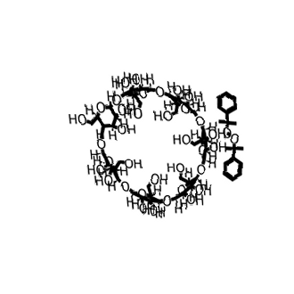 CC(C)(OOC(C)(C)c1ccccc1)c1ccccc1.OC[C@H]1O[C@@H]2O[C@H]3[C@H](O)[C@@H](O)[C@@H](O[C@H]4[C@H](O)[C@@H](O)[C@@H](O[C@H]5[C@H](O)[C@@H](O)[C@@H](O[C@H]6[C@H](O)[C@@H](O)[C@@H](O[C@H]7[C@H](O)[C@@H](O)[C@@H](O[C@H]8[C@H](O)[C@@H](O)[C@@H](O[C@H]1[C@H](O)[C@H]2O)O[C@@H]8CO)O[C@@H]7CO)O[C@@H]6CO)O[C@@H]5CO)O[C@@H]4CO)O[C@@H]3CO